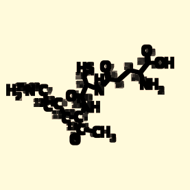 C[13C](=O)[13CH]([13CH2][13CH2][13CH2][13CH2][15NH2])[15NH]C(=O)C(CS)NC(=O)CCC(N)C(=O)O